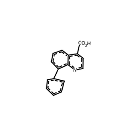 O=C(O)c1ccnc2c(-c3ccccc3)cccc12